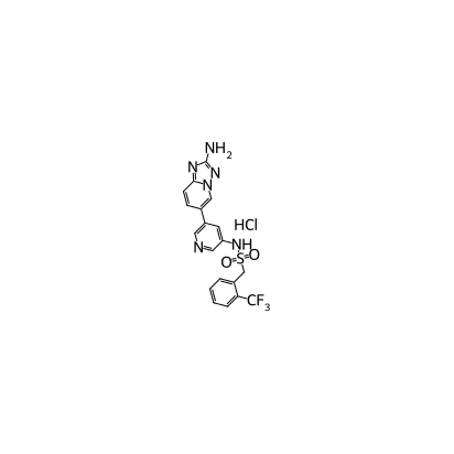 Cl.Nc1nc2ccc(-c3cncc(NS(=O)(=O)Cc4ccccc4C(F)(F)F)c3)cn2n1